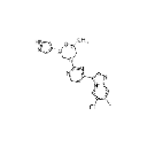 C[C@@H]1CN(c2nccc(-c3cnc4cc(F)c(Cl)cn34)n2)C[C@H](c2cn[nH]c2)O1